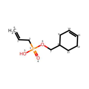 C=CCP(=O)(O)OCC1CC=CCC1